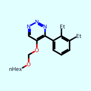 CCCCCCOCOc1cnnnc1-c1cccc(CC)c1CC